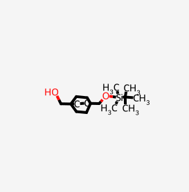 CC(C)(C)[Si](C)(C)OCC12CCC(CO)(CC1)CC2